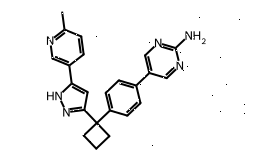 Cc1ccc(-c2cc(C3(c4ccc(-c5cnc(N)nc5)cc4)CCC3)n[nH]2)cn1